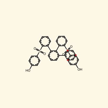 O=S(=O)(c1ccc(O)cc1)c1ccccc1-c1cccc(-c2ccccc2)c1-c1ccccc1S(=O)(=O)c1ccc(O)cc1